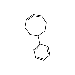 C1=CCCC(c2ccccc2)CCC=1